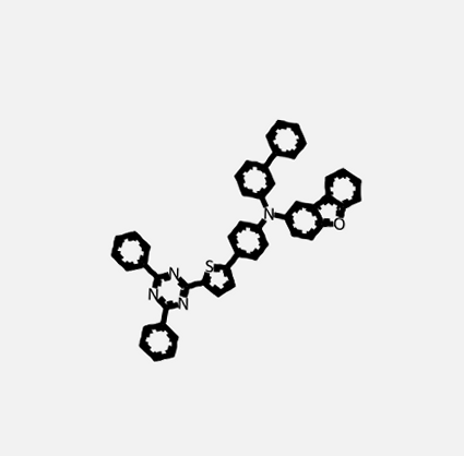 c1ccc(-c2cccc(N(c3ccc(-c4ccc(-c5nc(-c6ccccc6)nc(-c6ccccc6)n5)s4)cc3)c3ccc4oc5ccccc5c4c3)c2)cc1